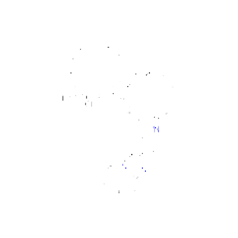 CC1(C)CCCCCCCCC(C2CCCCCCC(NCCc3cn4ccccc4n3)CCC2)CC1